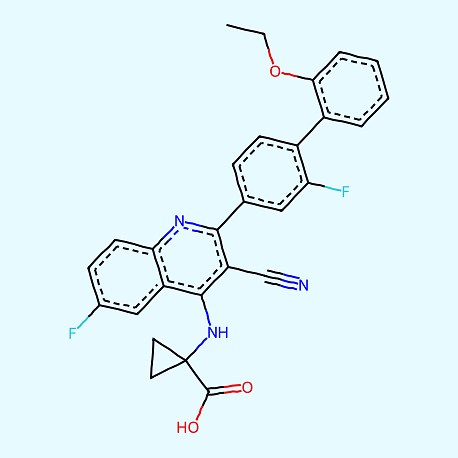 CCOc1ccccc1-c1ccc(-c2nc3ccc(F)cc3c(NC3(C(=O)O)CC3)c2C#N)cc1F